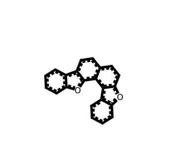 c1ccc2c(c1)oc1c2ccc2ccc3oc4ccccc4c3c21